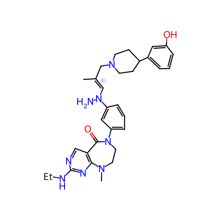 CCNc1ncc2c(n1)N(C)CCN(c1cccc(N(N)/C=C(\C)CN3CCC(c4cccc(O)c4)CC3)c1)C2=O